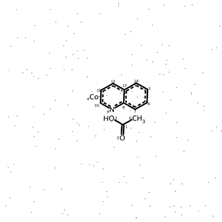 CC(=O)O.[Co].c1ccc2ncccc2c1